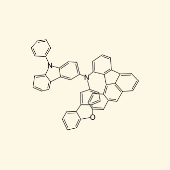 c1ccc(-n2c3ccccc3c3cc(N(c4ccc5oc6ccccc6c5c4)c4cccc5c4-c4c6ccccc6cc6cccc-5c46)ccc32)cc1